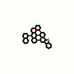 c1ccc(-c2ccccc2-c2c3ccccc3c(-c3cccc4ccccc34)c3cccc(-c4ccc5sc6ccccc6c5c4)c23)cc1